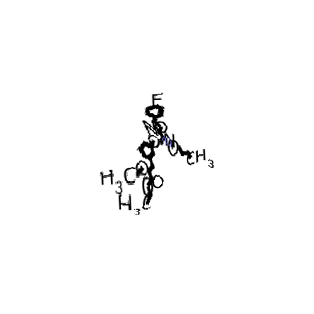 CCCCO/N=C(\COc1cccc(CC(OCC)C(=O)OCC)c1)c1nnc(-c2ccc(F)cc2)o1